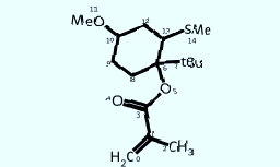 C=C(C)C(=O)OC1(C(C)(C)C)CCC(OC)CC1SC